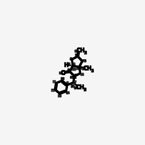 C=C1C[C@@H]2C(=O)N([C@H](C)c3ccccc3)C[C@]2(C)C1